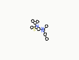 c1ccc(-c2ccc(-c3cc(-c4ccccc4)nc(-c4ccc5c(c4)nc(-c4cc6ccccc6c6ccccc46)c4c6ccccc6sc54)n3)cc2)cc1